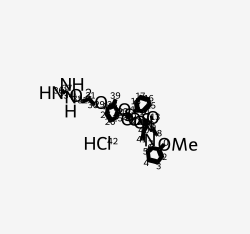 COc1ccccc1N1CCN(S(=O)(=O)c2ccccc2S(=O)(=O)Oc2cccc(OCCCONC(=N)N)c2C)CC1.Cl